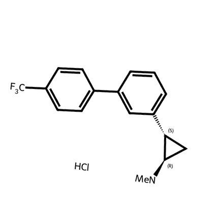 CN[C@@H]1C[C@H]1c1cccc(-c2ccc(C(F)(F)F)cc2)c1.Cl